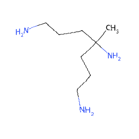 CC(N)(CCCN)CCCN